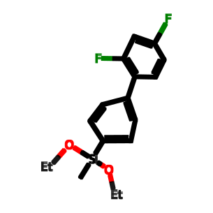 CCO[Si](C)(OCC)c1ccc(-c2ccc(F)cc2F)cc1